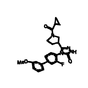 COc1cccc(-c2ccc(-n3c(C4CCN(C(=O)C5CC5)C4)n[nH]c3=O)c(F)c2)c1